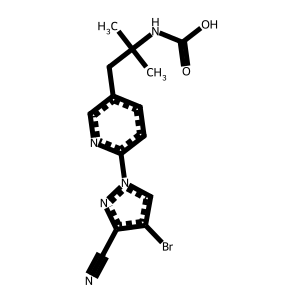 CC(C)(Cc1ccc(-n2cc(Br)c(C#N)n2)nc1)NC(=O)O